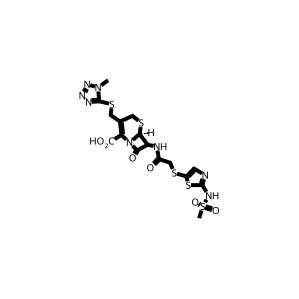 Cn1nnnc1SCC1=C(C(=O)O)N2C(=O)C(NC(=O)CSc3cnc(NS(C)(=O)=O)s3)[C@@H]2SC1